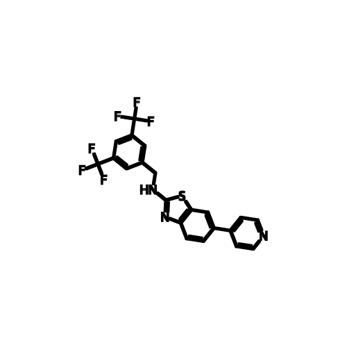 FC(F)(F)c1cc(CNc2nc3ccc(-c4ccncc4)cc3s2)cc(C(F)(F)F)c1